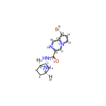 O=C(N[C@@H]1C[C@H]2CC[C@@H]1N2)c1cn2ccc(Br)c2cn1